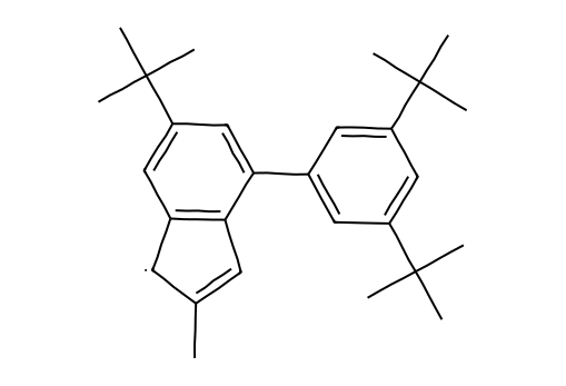 CC1=Cc2c(cc(C(C)(C)C)cc2-c2cc(C(C)(C)C)cc(C(C)(C)C)c2)[CH]1